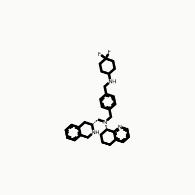 FC1(F)CCC(NCc2ccc(CN(C[C@H]3Cc4ccccc4CN3)[C@H]3CCCc4cccnc43)cc2)CC1